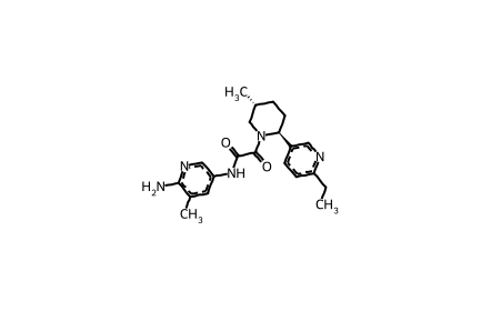 CCc1ccc([C@@H]2CC[C@@H](C)CN2C(=O)C(=O)Nc2cnc(N)c(C)c2)cn1